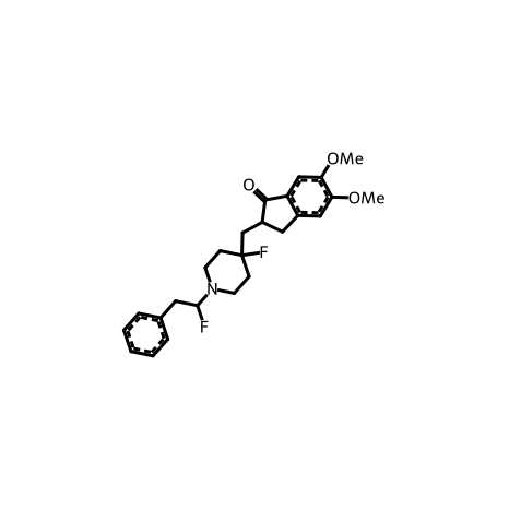 COc1cc2c(cc1OC)C(=O)C(CC1(F)CCN(C(F)Cc3ccccc3)CC1)C2